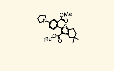 COC(=O)c1cc(N2CCCC2)ccc1-c1sc2c(c1C(=O)OC(C)(C)C)CC(C)(C)CC2